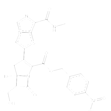 CNC(=O)c1ncn2cc(C3=C(C(=O)OCc4ccc([N+](=O)[O-])cc4)N4C(=O)[C@H]([C@@H](C)O)[C@H]4C3)sc12